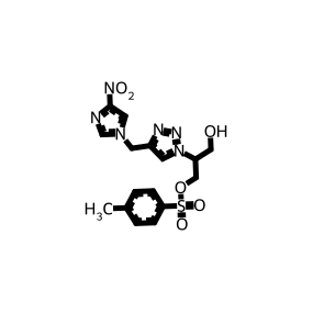 Cc1ccc(S(=O)(=O)OCC(CO)n2cc(Cn3cnc([N+](=O)[O-])c3)nn2)cc1